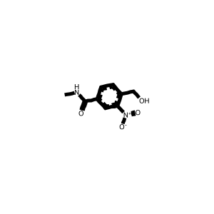 CNC(=O)c1ccc(CO)c([N+](=O)[O-])c1